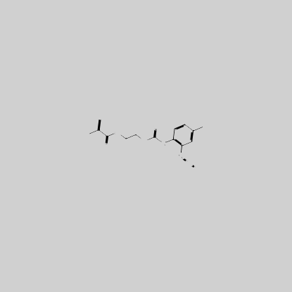 C=C(C)C(=O)OCCOC(=O)Nc1ccc(C)cc1N=C=O